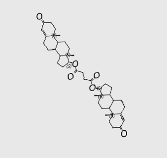 C[C@]12CCC(=O)C=C1CCC1C2CC[C@@]2(C)C1CC[C@@H]2OC(=O)CCC(=O)O[C@H]1CCC2C3CCC4=CC(=O)CC[C@]4(C)C3CC[C@@]21C